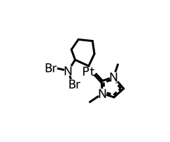 BrN(Br)C1CCCCC1.Cn1ccn(C)[c]1=[Pt]